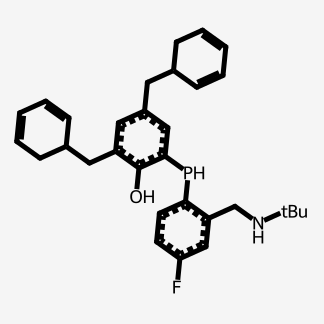 CC(C)(C)NCc1cc(F)ccc1Pc1cc(CC2C=CC=CC2)cc(CC2C=CC=CC2)c1O